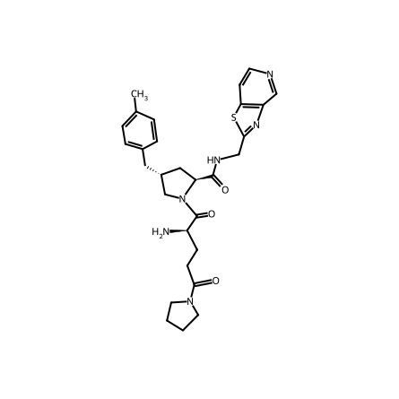 Cc1ccc(C[C@@H]2C[C@@H](C(=O)NCc3nc4cnccc4s3)N(C(=O)[C@H](N)CCC(=O)N3CCCC3)C2)cc1